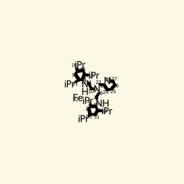 CC(C)c1cc(C(C)C)c(NCCN(CCNc2c(C(C)C)cc(C(C)C)cc2C(C)C)Cc2ccccn2)c(C(C)C)c1.[Fe]